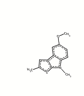 COc1ccc2c(c1)c1cc(C)sc1n2C